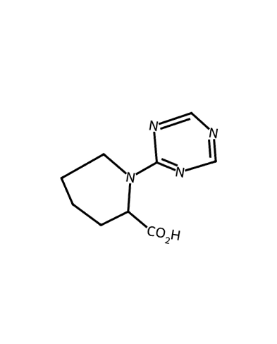 O=C(O)C1CCCCN1c1ncncn1